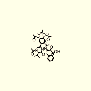 CC(=O)Oc1cc(C2=CN(C(C)=O)C(C(C)C)C(=O)N2N(C(C)=O)[C@@H](Cc2ccccc2)C(=O)C(=O)O)cc(OC(C)=O)c1OC(C)=O